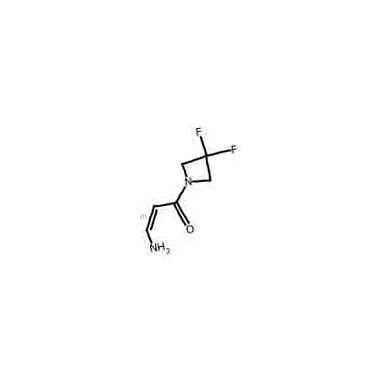 N/C=C\C(=O)N1CC(F)(F)C1